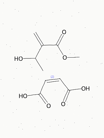 C=C(C(=O)OC)C(C)O.O=C(O)/C=C\C(=O)O